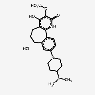 CN(C)C1CCN(c2ccc3c(c2)CCCc2c-3[nH]c(=O)c(OC(=O)O)c2O)CC1.Cl